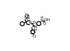 O=C(O)NC1CCC(N[C@H](Cc2ccc(Cl)cc2)C(=O)N2CCC(Cn3cncn3)(C3CCCCC3)CC2)CC1